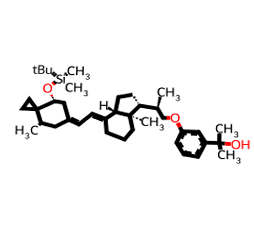 C[C@@H]1C/C(=C/C=C2\CCC[C@]3(C)[C@@H]([C@@H](C)COc4cccc(C(C)(C)O)c4)CC[C@@H]23)C[C@@H](O[Si](C)(C)C(C)(C)C)C12CC2